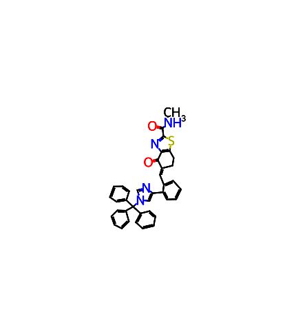 CNC(=O)c1nc2c(s1)CC/C(=C\c1ccccc1-c1cn(C(c3ccccc3)(c3ccccc3)c3ccccc3)cn1)C2=O